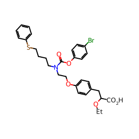 CCOC(Cc1ccc(OCCN(CCCCSc2ccccc2)C(=O)Oc2ccc(Br)cc2)cc1)C(=O)O